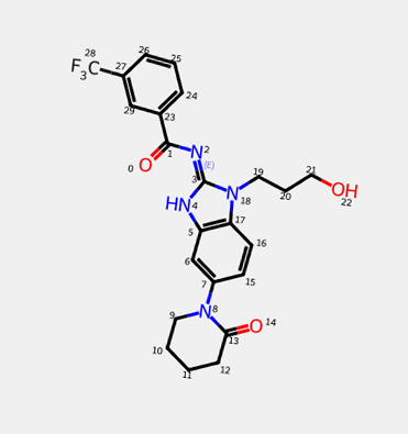 O=C(/N=c1\[nH]c2cc(N3CCCCC3=O)ccc2n1CCCO)c1cccc(C(F)(F)F)c1